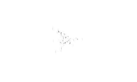 C=C[Si]1(CCCC)O[Si](C=C)(CCCC)O[Si](C=C)(CCCC)O1